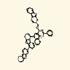 N/C(=N\C(=N/CC1C=Cc2c(oc3ccccc23)C1)c1cc(C2=CCCc3oc4c(-c5ccc6c7c(sc6c5)C=CCC7)cccc4c32)c2ccccc2c1)c1ccccc1